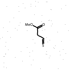 COC(=O)C[C]=S